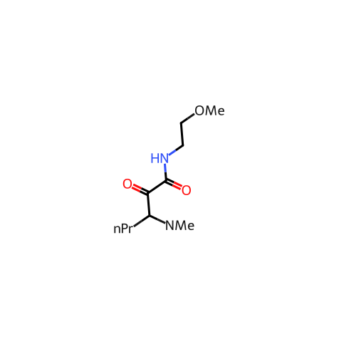 CCCC(NC)C(=O)C(=O)NCCOC